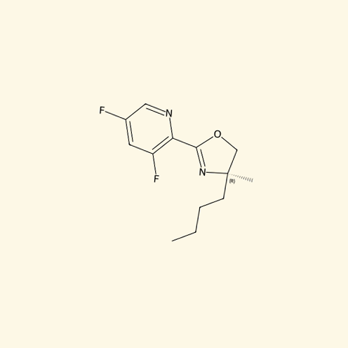 CCCC[C@]1(C)COC(c2ncc(F)cc2F)=N1